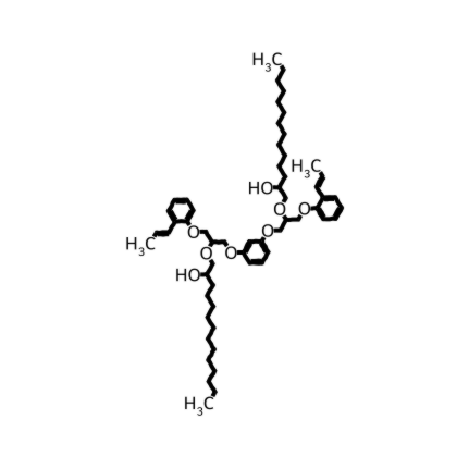 C/C=C/c1ccccc1OCC(COc1cccc(OCC(COc2ccccc2/C=C/C)OCC(O)CCCCCCCCCCCC)c1)OCC(O)CCCCCCCCCCCC